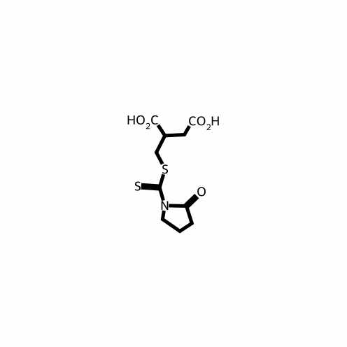 O=C(O)CC(CSC(=S)N1CCCC1=O)C(=O)O